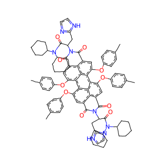 Cc1ccc(Oc2cc3c4c(cc(Oc5ccc(C)cc5)c5c6c(Oc7ccc(C)cc7)cc7c8c(cc(Oc9ccc(C)cc9)c(c2c45)c86)C(=O)N(C(Cc2ncc[nH]2)C(=O)N(C2CCCCC2)C2CCCCC2)C7=O)C(=O)N(C(Cc2ncc[nH]2)C(=O)N(C2CCCCC2)C2CCCCC2)C3=O)cc1